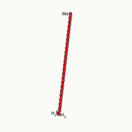 COCCOCCOCCOCCOCCOCCOCCOCCOCCOCCOCCOCCOCCOCCOCCOCCOCCOCCOCCOCCOCCOCCOCCOCCOCCOCCOCCOCCOCCOCCOCCOCCOCCOCCOCCOCCOCCOCCOCCOCCOCCOCCOCCOCCOCCOCCC(CC(N)=O)C(N)=O